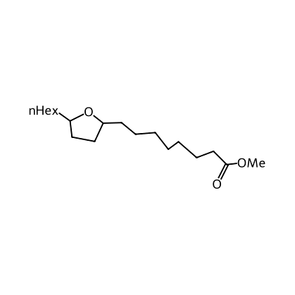 CCCCCCC1CCC(CCCCCCCC(=O)OC)O1